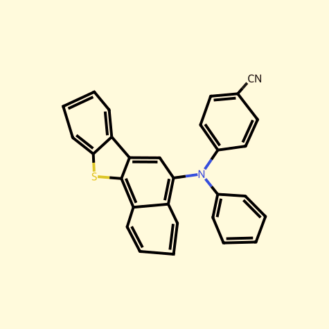 N#Cc1ccc(N(c2ccccc2)c2cc3c4ccccc4sc3c3ccccc23)cc1